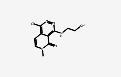 Cn1ccc2c(Cl)nnc(NCCO)c2c1=O